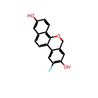 Oc1ccc2c3c(ccc2c1)-c1cc(F)c(O)cc1CO3